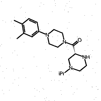 Cc1ccc(N2CCN(C(=O)[C@H]3CN(C(C)C)CCN3)CC2)cc1C